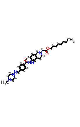 CCCCCCCCOC(=O)CN1CCc2cc(NC(=O)c3ccc(/C=N/N4CCN(C)CC4)cc3)ccc2C1